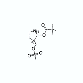 CC(C)(C)C(=O)OC1NCC[C@@H]1COS(C)(=O)=O